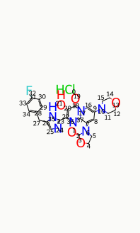 Cl.O=C1OCCN1c1cc(N2CCOCC2)cn2c(=O)c(O)c(-c3ncc(Cc4ccc(F)cc4)[nH]3)nc12